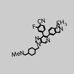 CNCC1CCC(Cn2cnc3c(-c4ccc(C#N)c(F)c4)c(-c4ccc5c(cnn5C)c4)ncc32)CC1